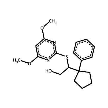 COc1cc(OC)nc(SC(CO)C2(c3ccccc3)CCCC2)n1